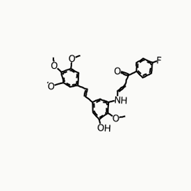 COc1cc(C=Cc2cc(O)c(OC)c(NC=CC(=O)c3ccc(F)cc3)c2)cc(OC)c1OC